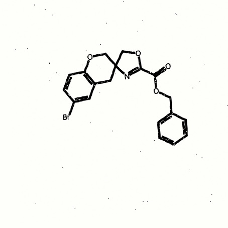 O=C(OCc1ccccc1)C1=NC2(CO1)COc1ccc(Br)cc1C2